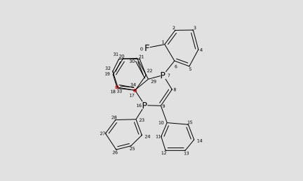 Fc1ccccc1P(/C=C(/c1ccccc1)P(c1ccccc1)c1ccccc1)c1ccccc1